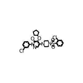 O=c1c(OC2CCCC2)c(N2CCN(S(=O)(=O)c3ccccc3Cl)CC2)cnn1-c1cccc(Cl)c1